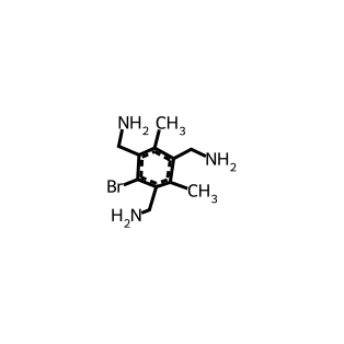 Cc1c(CN)c(C)c(CN)c(Br)c1CN